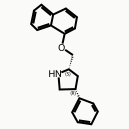 c1ccc([C@@H]2CN[C@H](COc3cccc4ccccc34)C2)cc1